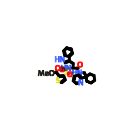 COC(=O)c1sccc1S(=O)(=O)N[C@@](C)(Cc1c[nH]c2ccccc12)C(=O)NCC1(c2ccccn2)CCCCC1